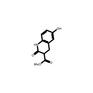 COC(=O)C1Cc2cc(O)ccc2NC1=O